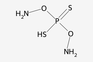 NOP(=S)(S)ON